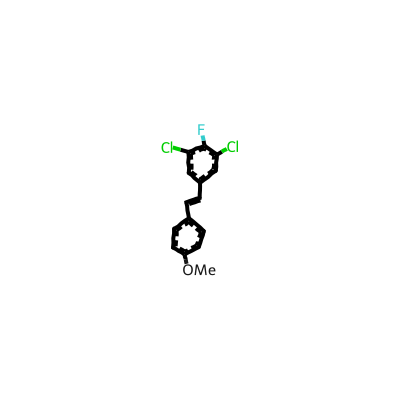 COc1ccc(C=Cc2cc(Cl)c(F)c(Cl)c2)cc1